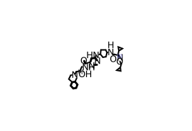 O=C(NC1CCC(Nc2cc(C(=O)NC[C@H](O)CN3CCc4ccccc4C3)ncn2)CC1)/C(=N\OCC1CC1)C1CC1